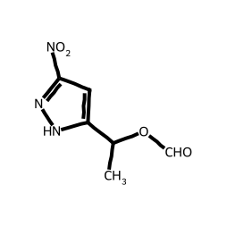 CC(OC=O)c1cc([N+](=O)[O-])n[nH]1